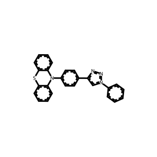 c1ccc(-n2cc(-c3ccc(N4c5ccccc5Sc5ccccc54)cc3)nn2)cc1